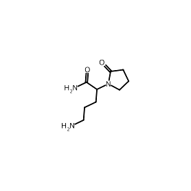 NCCCC(C(N)=O)N1CCCC1=O